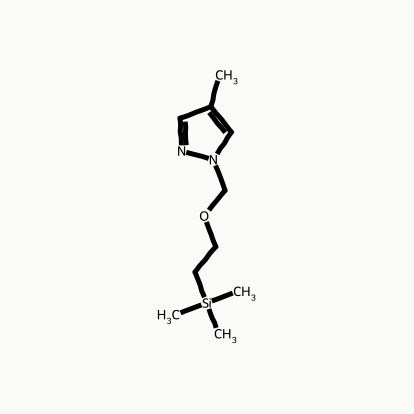 Cc1cnn(COCC[Si](C)(C)C)c1